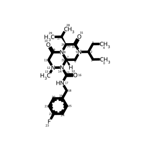 CCC(CC)N1C[C@H]2N(C(=O)CN(C)N2C(=O)NCc2ccc(F)cc2)[C@@H](C(C)C)C1=O